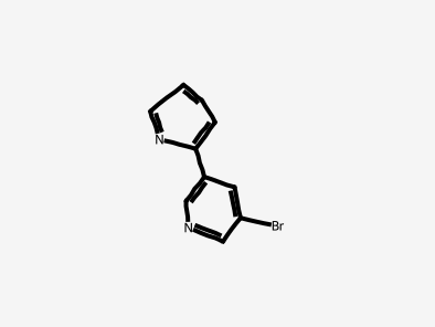 Brc1cncc(-c2ccccn2)c1